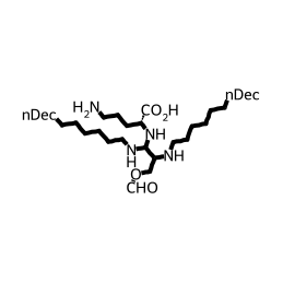 CCCCCCCCCCCCCCCCNC(COC=O)C(NCCCCCCCCCCCCCCCC)N[C@H](CCCN)C(=O)O